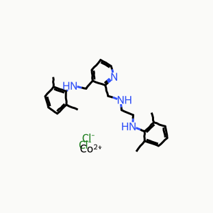 Cc1cccc(C)c1NCCNCc1ncccc1CNc1c(C)cccc1C.[Cl-].[Cl-].[Co+2]